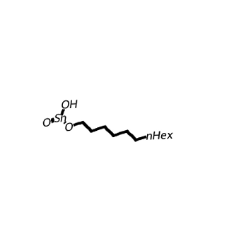 CCCCCCCCCCCC[O][Sn](=[O])[OH]